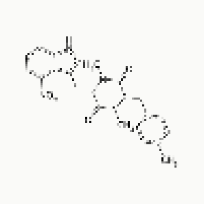 Cc1ccc(C[C@H]2C(=O)N(C)[C@@H](Cc3c[nH]c4cccc([N+](=O)[O-])c34)C(=O)N2C)cc1